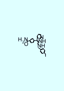 CCc1ccc(CNCc2[nH]c3ncccc3c2-c2ccc(C(N)=O)cc2)cc1